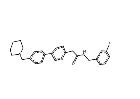 O=C(Cc1ccc(-c2ccc(CN3CCCCC3)cc2)cn1)NCc1cccc(F)c1